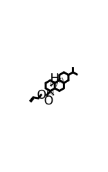 C=CCOC(=O)[C@]1(C)CCC[C@@]2(C)C1CCC1CC(C(C)C)CC[C@@H]12